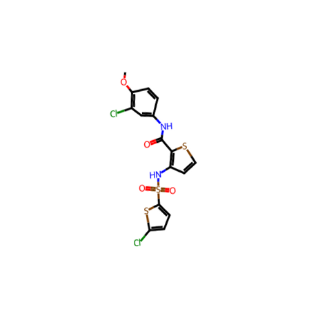 COc1ccc(NC(=O)c2sccc2NS(=O)(=O)c2ccc(Cl)s2)cc1Cl